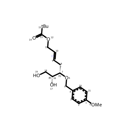 COc1ccc(CO[C@@H](C/C=C/COC(=O)C(C)(C)C)[C@H](O)CO)cc1